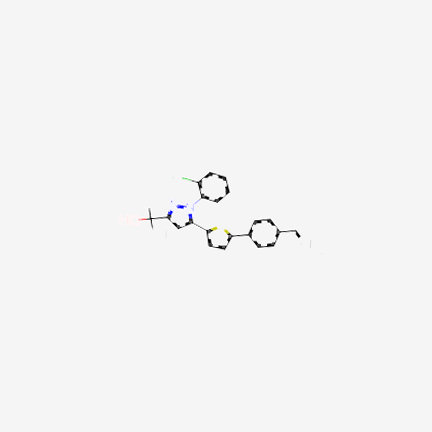 C=Cc1ccc(-c2ccc(-c3cc(C(C)(C)O)nn3-c3ccccc3Cl)s2)cc1